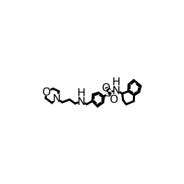 O=S(=O)(NC1CCCc2ccccc21)c1ccc(CNCCCN2CCOCC2)cc1